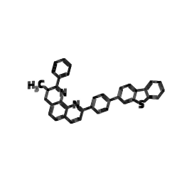 CC1Cc2ccc3ccc(-c4ccc(-c5ccc6c(c5)sc5ccccc56)cc4)nc3c2N=C1c1ccccc1